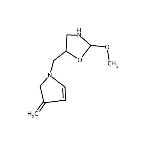 C=C1C=CN(CC2CNC(OC)O2)C1